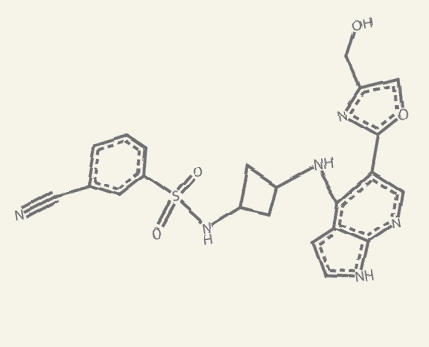 N#Cc1cccc(S(=O)(=O)NC2CC(Nc3c(-c4nc(CO)co4)cnc4[nH]ccc34)C2)c1